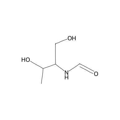 CC(O)C(CO)NC=O